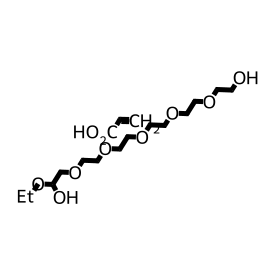 C=CC(=O)O.CCOC(O)COCCOCCOCCOCCOCCO